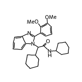 COc1cccc(-c2nc3ccccc3n2C(C(=O)NC2CCCCC2)C2CCCCC2)c1OC